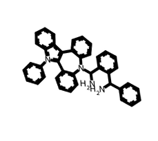 NC(c1ccccc1)c1ccccc1C(N)N1c2ccccc2-c2c(n(-c3ccccc3)c3ccccc23)-c2ccccc21